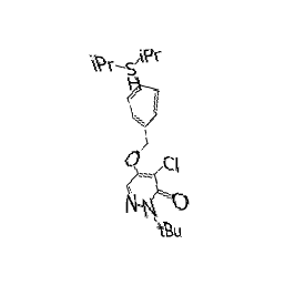 CC(C)[SH](c1ccc(COc2cnn(C(C)(C)C)c(=O)c2Cl)cc1)C(C)C